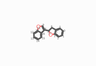 c1ccc2c(c1)C[C](c1coc3ccccc13)O2